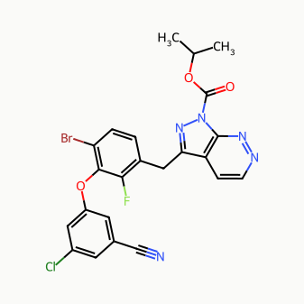 CC(C)OC(=O)n1nc(Cc2ccc(Br)c(Oc3cc(Cl)cc(C#N)c3)c2F)c2ccnnc21